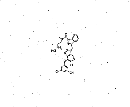 CN(CCN)C(=O)n1nc(Cn2nnc3c(Oc4cc(Cl)cc(C#N)c4)c(Cl)ccc32)c2cccnc21.Cl